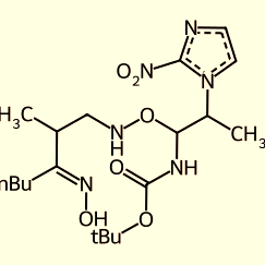 CCCCC(=NO)C(C)CNOC(NC(=O)OC(C)(C)C)C(C)n1ccnc1[N+](=O)[O-]